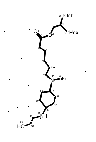 CCCCCCCCC(CCCCCC)COC(=O)CCCCCN(CCC)C1CCC(NCCO)CC1